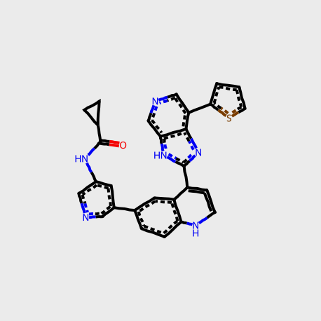 O=C(Nc1cncc(-c2ccc3c(c2)C(c2nc4c(-c5cccs5)cncc4[nH]2)=C=CN3)c1)C1CC1